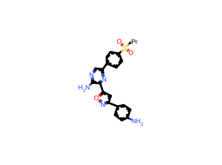 CC(C)S(=O)(=O)c1ccc(-c2cnc(N)c(-c3cc(-c4ccc(N)cc4)no3)n2)cc1